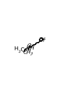 CC(C)CNC(=O)/C=C/C=C/Cc1cccc(F)c1